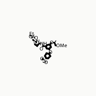 CCO[P@](C)(=O)Cn1ccc(NC(=O)c2cc(Oc3ccc(S(C)(=O)=O)cc3)cc(O[C@@H](C)COC)c2)n1